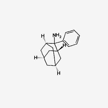 NC1(c2ccccc2)[C@H]2C[C@H]3C[C@H](C2)C[C@H]1C3